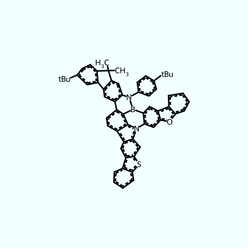 CC(C)(C)c1ccc(N2B3c4cc5c(cc4-n4c6cc7sc8ccccc8c7cc6c6ccc(c3c64)-c3cc4c(cc32)C(C)(C)c2ccc(C(C)(C)C)cc2-4)oc2ccccc25)cc1